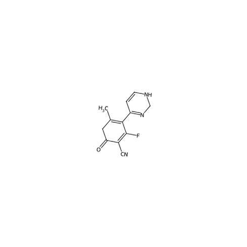 CC1=C(C2=NCNC=C2)C(F)=C(C#N)C(=O)C1